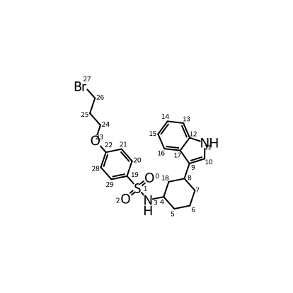 O=S(=O)(NC1CCCC(c2c[nH]c3ccccc23)C1)c1ccc(OCCCBr)cc1